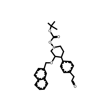 CC(C)(C)OC(=O)ON1CCC(c2ccc(CC=O)cc2)C(OCc2ccc3ccccc3c2)C1